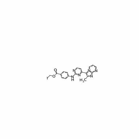 Cc1nc2ncccn2c1-c1ccnc(Nc2ccc(C(=O)OCI)cc2)n1